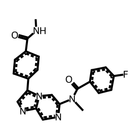 CNC(=O)c1ccc(-c2cnc3cnc(N(C)C(=O)c4ccc(F)cc4)cn23)cc1